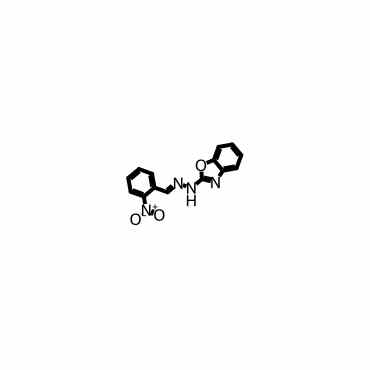 O=[N+]([O-])c1ccccc1C=NNc1nc2ccccc2o1